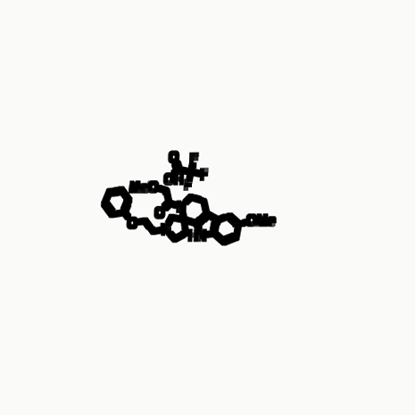 COCC(=O)N1CCc2c([nH]c3ccc(OC)cc23)C12CCN(CCOc1ccccc1)C2.O=C(O)C(F)(F)F